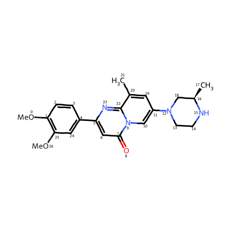 COc1ccc(-c2cc(=O)n3cc(N4CCN[C@H](C)C4)cc(C)c3n2)cc1OC